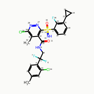 Cc1ccc(C(F)(F)CNC(=O)c2c(S(=N)(=O)c3cccc(C4CC4)c3F)nnc(Cl)c2C)c(Cl)c1